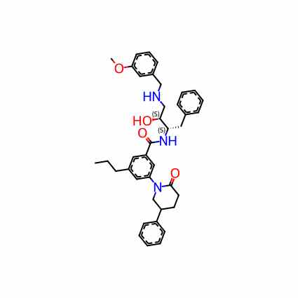 CCCc1cc(C(=O)N[C@@H](Cc2ccccc2)[C@@H](O)CNCc2cccc(OC)c2)cc(N2CC(c3ccccc3)CCC2=O)c1